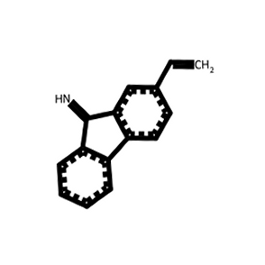 C=Cc1ccc2c(c1)C(=N)c1ccccc1-2